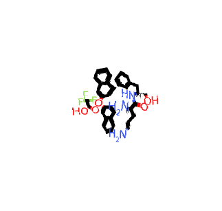 NCCC[C@@H](N)C(=O)N[C@@H](CO)Cc1ccccc1.O=C(O)C(F)(F)F.c1ccc2cc(Oc3ccc4ccccc4c3)ccc2c1